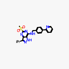 CC(C)c1n[nH]c2c(NCc3ccc(-c4ccccn4)cc3)nc(S(C)(=O)=O)nc12